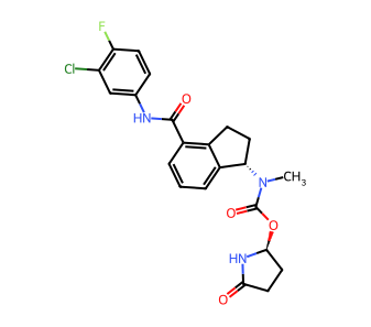 CN(C(=O)O[C@H]1CCC(=O)N1)[C@H]1CCc2c(C(=O)Nc3ccc(F)c(Cl)c3)cccc21